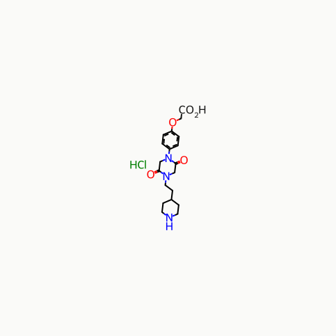 Cl.O=C(O)COc1ccc(N2CC(=O)N(CCC3CCNCC3)CC2=O)cc1